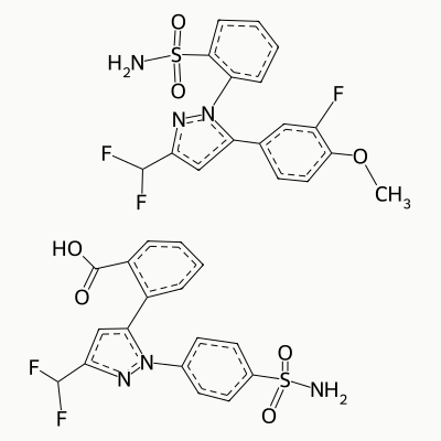 COc1ccc(-c2cc(C(F)F)nn2-c2ccccc2S(N)(=O)=O)cc1F.NS(=O)(=O)c1ccc(-n2nc(C(F)F)cc2-c2ccccc2C(=O)O)cc1